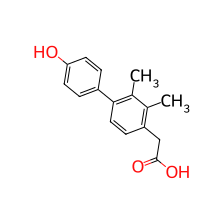 Cc1c(CC(=O)O)ccc(-c2ccc(O)cc2)c1C